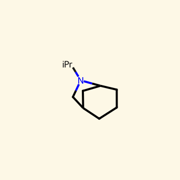 CC(C)N1CC2CCCC1C2